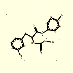 CC(C)(C)OC(=O)NC(Cc1cccc(Cl)c1)C(=O)Nc1ccc(Br)cc1